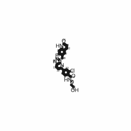 O=C(NOCCO)c1ccc(-c2ccc3nnn(Cc4cc5ccc(=O)[nH]c5cc4F)c3n2)cc1Cl